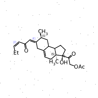 CC/C=C\C(=O)/C=C1\CC2=CC[C@@]3(C)C(CC[C@]3(O)C(=O)COC(C)=O)C2C[C@@H]1C